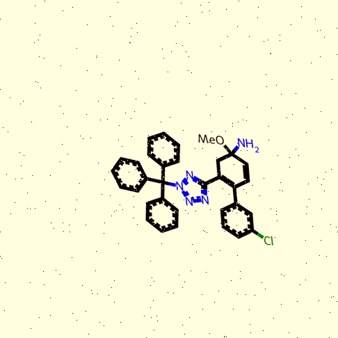 COC1(N)C=CC(c2cccc(Cl)c2)=C(c2nnn(C(c3ccccc3)(c3ccccc3)c3ccccc3)n2)C1